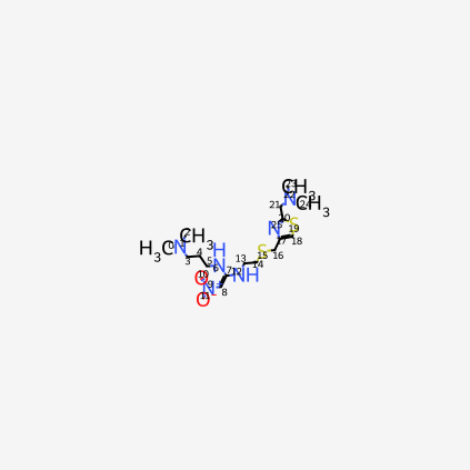 CN(C)CCCNC(=C[N+](=O)[O-])NCCSCc1csc(CN(C)C)n1